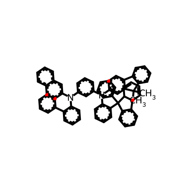 CC1(C)c2ccccc2-c2ccc(N(c3cccc(N(c4ccc5ccccc5c4)c4ccccc4-c4ccccc4)c3)c3ccccc3C3(c4ccccc4)c4ccccc4C4C=CC=CC43)cc21